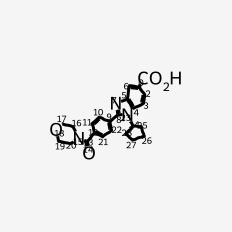 O=C(O)c1ccc2c(c1)nc(-c1ccc(C(=O)N3CCOCC3)cc1)n2C1CCCC1